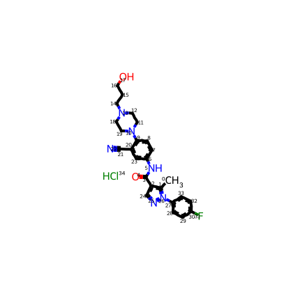 Cc1c(C(=O)Nc2ccc(N3CCN(CCCO)CC3)c(C#N)c2)cnn1-c1ccc(F)cc1.Cl